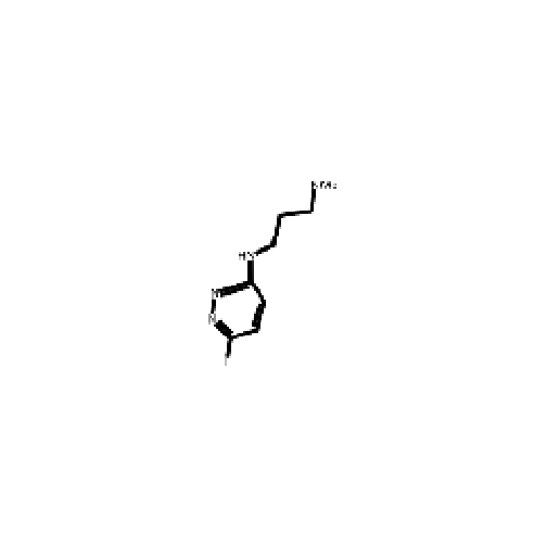 CNCCCNc1ccc(I)nn1